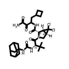 CC(C)(C)[C@H](NC(=O)NC12CC3CC(CC(C3)C1)C2)C(=O)N1C[C@H]2[C@@H]([C@H]1C(=O)NC(CC1CCC1)C(=O)C(N)=O)C2(Cl)Cl